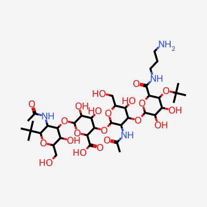 CC(=O)NC1C(OC2C(C(=O)O)OC(OC3C(O)C(CO)OC(C(C)(C)C)C3NC(C)=O)C(O)C2O)OC(CO)C(O)C1OC1OC(C(=O)NCCCN)C(OC(C)(C)C)C(O)C1O